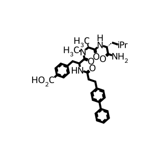 CC(C)C[C@@H](NC(=O)[C@H](C)N(C)C(=O)C(Cc1ccc(C(=O)O)cc1)NC(=O)CCc1ccc(-c2ccccc2)cc1)C(N)=O